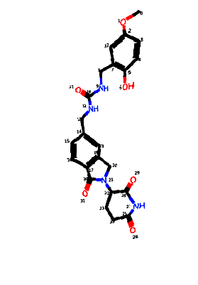 COc1ccc(O)c(CNC(=O)NCc2ccc3c(c2)CN(C2CCC(=O)NC2=O)C3=O)c1